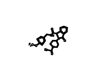 CCC(=O)N1CCC(N2C(=O)c3ccccc3C2C(=O)NCc2ccc(OC(F)(F)F)cc2)CC1